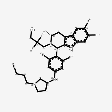 C[C@@H]1Cc2c([nH]c3cc(F)c(F)cc23)[C@@H](c2c(F)cc(N[C@H]3CCN(CCCF)C3)cc2F)N1CC(F)(F)CO